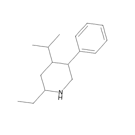 CCC1CC(C(C)C)C(c2ccccc2)CN1